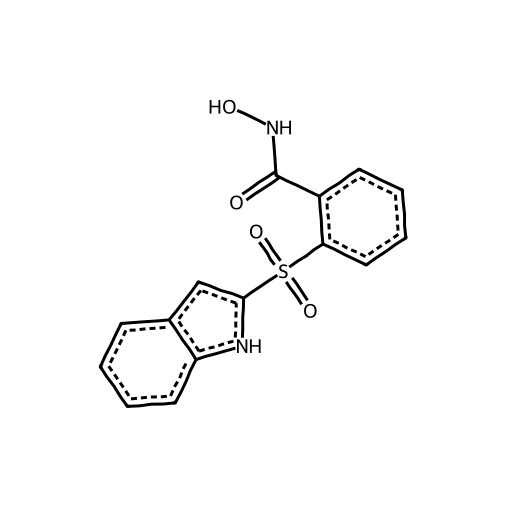 O=C(NO)c1ccccc1S(=O)(=O)c1cc2ccccc2[nH]1